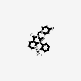 C[S+]([O-])c1ccccc1-n1c(=O)n(Cn2ccc(=O)cc2)c(=O)c2cccnc21